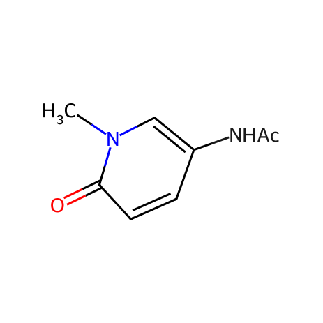 CC(=O)Nc1ccc(=O)n(C)c1